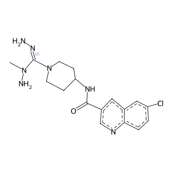 CN(N)/C(=N\N)N1CCC(NC(=O)c2cnc3ccc(Cl)cc3c2)CC1